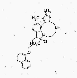 Cc1c2c(nn1C)CNCCCN1c3c-2cccc3C(CCCOc2cccc3ccccc23)C1(Cl)C(=O)O